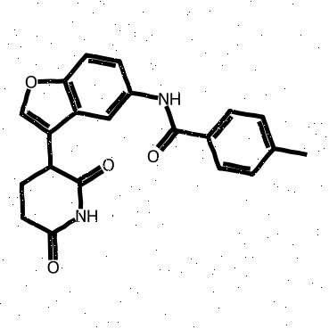 Cc1ccc(C(=O)Nc2ccc3occ(C4CCC(=O)NC4=O)c3c2)cc1